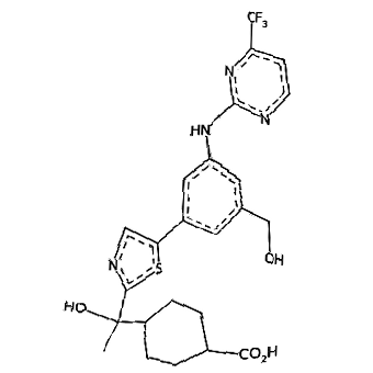 CC(O)(c1ncc(-c2cc(CO)cc(Nc3nccc(C(F)(F)F)n3)c2)s1)C1CCC(C(=O)O)CC1